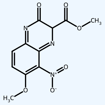 COC(=O)C1N=c2c([N+](=O)[O-])c(OC)ccc2=NC1=O